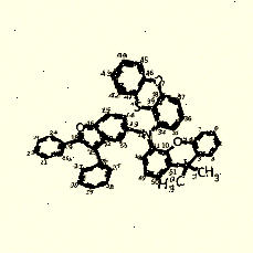 CC1(C)c2ccccc2Oc2c(N(c3ccc4oc(-c5ccccc5)c(-c5ccccc5)c4c3)c3cccc4c3Sc3ccccc3O4)cccc21